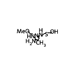 COCCCNc1nc(NCCSCCO)cc(C)c1N